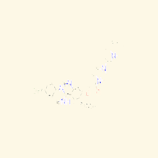 COc1cc2c(N[C@H](C)c3cccc(Br)c3)nc(C)nc2cc1OCC(=O)N1CCN(CCN2CCCCC2)CC1